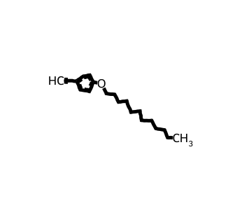 C#Cc1ccc(OCCCCCCCCCCCC)cc1